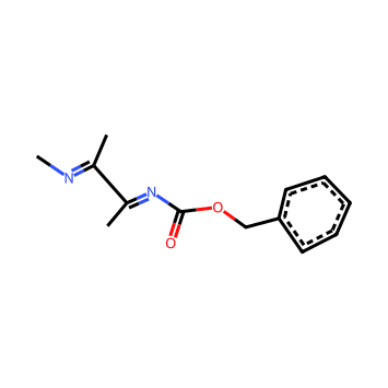 C/N=C(C)/C(C)=N/C(=O)OCc1ccccc1